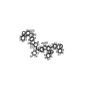 Cc1ccc(N(c2ccc3c(c2)C(C)(C)c2cc4c(cc2-3)C(C)(C)c2ccc3oc5ccccc5c3c2-4)c2ccc3c(c2)C(C)(C)c2cc(-c4ccc5c(c4)-c4ccccc4OC5)c4oc5ccccc5c4c2-3)cc1